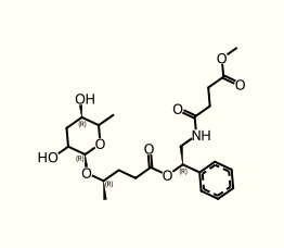 COC(=O)CCC(=O)NC[C@H](OC(=O)CC[C@@H](C)O[C@@H]1OC(C)[C@H](O)CC1O)c1ccccc1